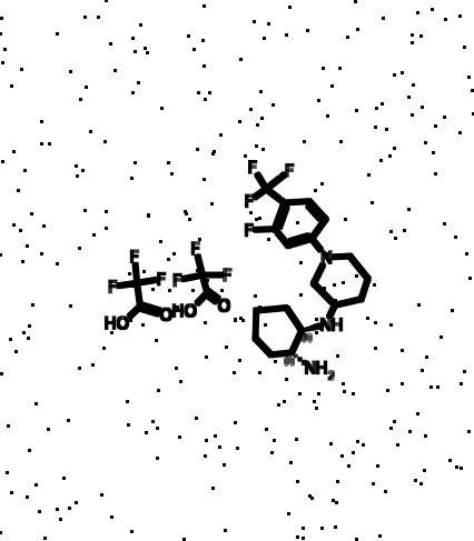 N[C@@H]1CCCC[C@H]1NC1CCCN(c2ccc(C(F)(F)F)c(F)c2)C1.O=C(O)C(F)(F)F.O=C(O)C(F)(F)F